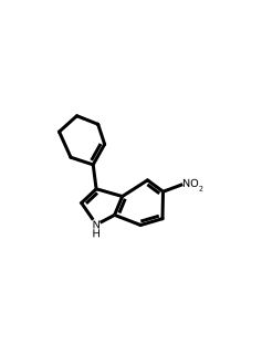 O=[N+]([O-])c1ccc2[nH]cc(C3=CCCCC3)c2c1